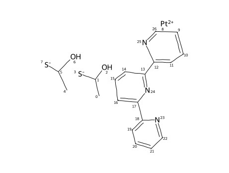 CC(O)[S-].CC(O)[S-].[Pt+2].c1ccc(-c2cccc(-c3ccccn3)n2)nc1